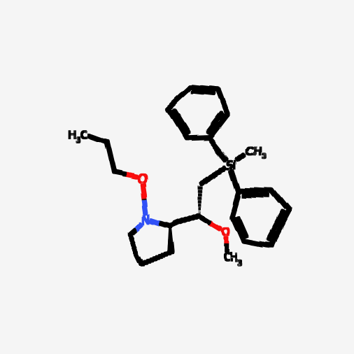 CCCON1CCC[C@@H]1[C@H](C[Si](C)(c1ccccc1)c1ccccc1)OC